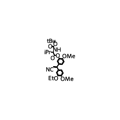 CCOc1cc(/C(=C\C#N)c2ccc(OC)c(OC(=O)C(NC(=O)OC(C)(C)C)C(C)C)c2)ccc1OC